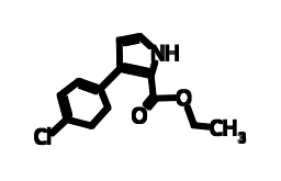 CCOC(=O)c1[nH]ccc1C1=CC=C(Cl)CC1